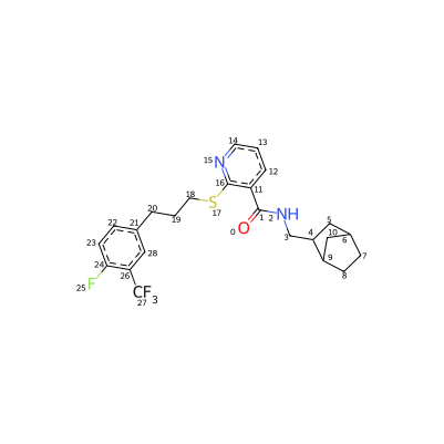 O=C(NCC1CC2CCC1C2)c1cccnc1SCCCc1ccc(F)c(C(F)(F)F)c1